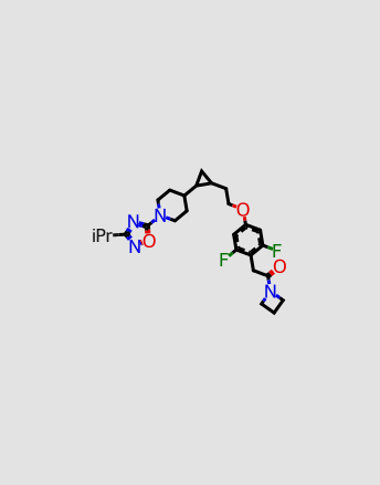 CC(C)c1noc(N2CCC(C3CC3CCOc3cc(F)c(CC(=O)N4CCC4)c(F)c3)CC2)n1